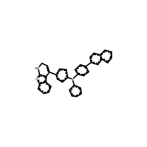 C1=C(c2ccc(N(c3ccccc3)c3ccc(-c4ccc5ccccc5c4)cc3)cc2)c2c(oc3ccccc23)NC1